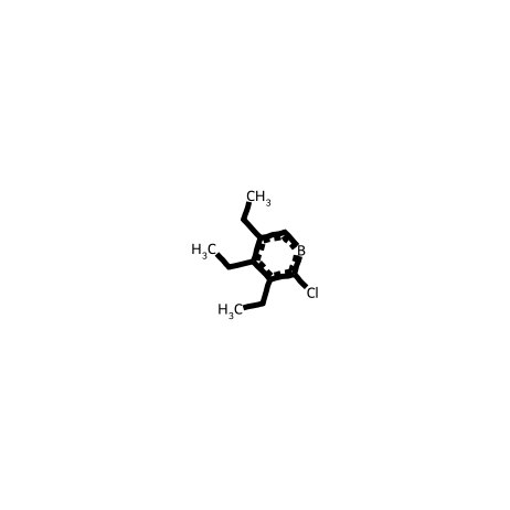 CCc1cbc(Cl)c(CC)c1CC